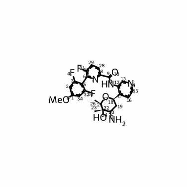 COc1cc(F)c(-c2nc(C(=O)Nc3cnccc3[C@H]3C[C@@H](N)[C@](C)(O)[C@@H](C)O3)ccc2F)c(F)c1